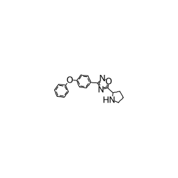 c1ccc(Oc2ccc(-c3noc(C4CCCN4)n3)cc2)cc1